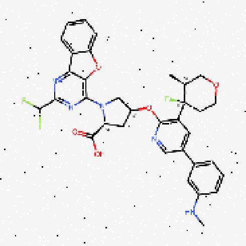 CNc1cccc(-c2cnc(O[C@H]3C[C@@H](C(=O)O)N(c4nc(C(F)F)nc5c4oc4ccccc45)C3)c([C@@]3(F)CCOC[C@@H]3C)c2)c1